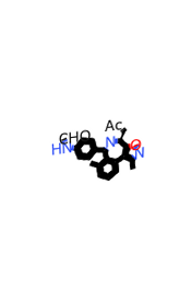 CC(=O)C[C@@H]1N=C(c2ccc(NC=O)cc2)c2c(C)cccc2-c2c(C)noc21